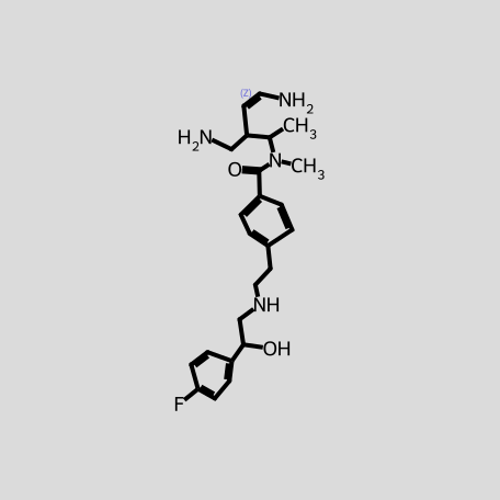 CC(C(/C=C\N)CN)N(C)C(=O)c1ccc(CCNCC(O)c2ccc(F)cc2)cc1